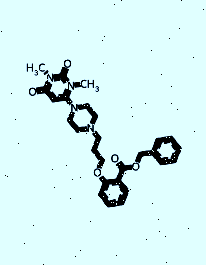 Cn1c(N2CCN(CCCOc3ccccc3C(=O)OCc3ccccc3)CC2)cc(=O)n(C)c1=O